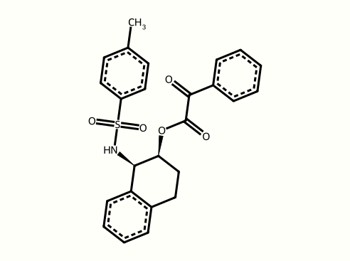 Cc1ccc(S(=O)(=O)N[C@@H]2c3ccccc3CC[C@@H]2OC(=O)C(=O)c2ccccc2)cc1